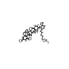 CCCCCCC1CCC(=O)N1c1ccc(Cl)c(NC2=NN(c3c(Cl)cc(Cl)cc3Cl)C(=O)C2)c1